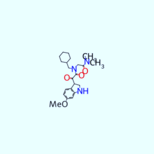 COc1ccc2c(c1)NCC2C(=O)C(=O)N(CC(=O)N(C)C)CC1CCCCC1